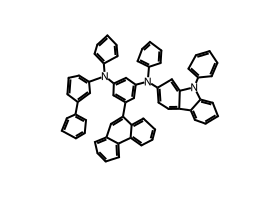 c1ccc(-c2cccc(N(c3ccccc3)c3cc(-c4cc5ccccc5c5ccccc45)cc(N(c4ccccc4)c4ccc5c6ccccc6n(-c6ccccc6)c5c4)c3)c2)cc1